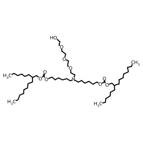 CCCCCCCCC(CCCCCC)COC(=O)OCCCCCCN(CCCCCCOC(=O)OCC(CCCCCC)CCCCCCCC)CCOCCOCCOCCO